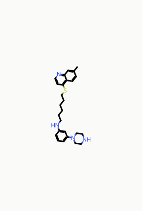 Cc1ccc2c(SCCCCCCNc3cccc(N4CCNCC4)c3)ccnc2c1